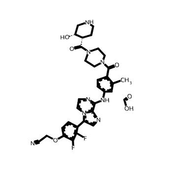 Cc1cc(Nc2nccn3c(-c4ccc(OCC#N)c(F)c4F)cnc23)ccc1C(=O)N1CCN(C(=O)[C@H]2CCNC[C@H]2O)CC1.O=CO